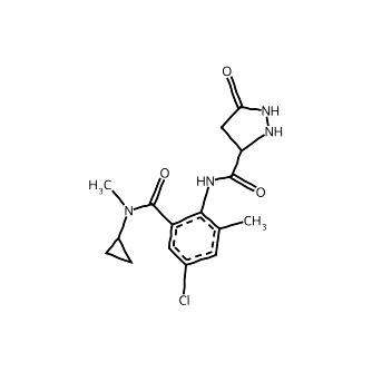 Cc1cc(Cl)cc(C(=O)N(C)C2CC2)c1NC(=O)C1CC(=O)NN1